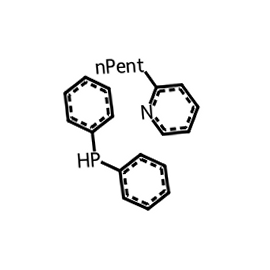 CCCCCc1ccccn1.c1ccc(Pc2ccccc2)cc1